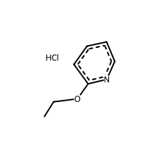 CCOc1ccccn1.Cl